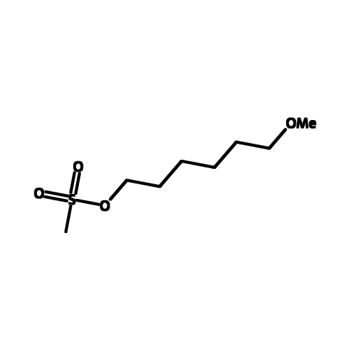 COCCCCCCOS(C)(=O)=O